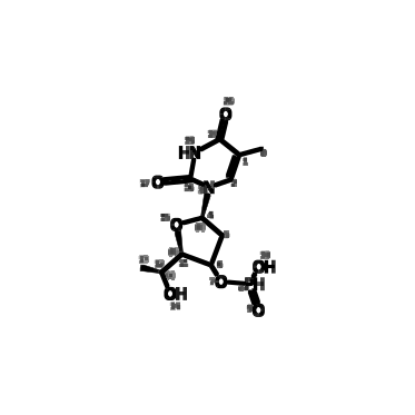 Cc1cn([C@H]2CC(O[PH](=O)O)[C@@H]([C@H](C)O)O2)c(=O)[nH]c1=O